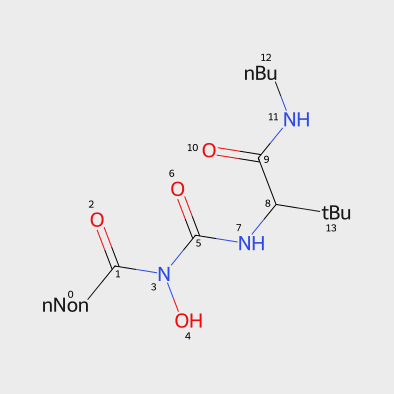 CCCCCCCCCC(=O)N(O)C(=O)NC(C(=O)NCCCC)C(C)(C)C